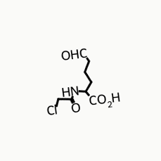 O=CCCCC(NC(=O)CCl)C(=O)O